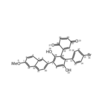 COc1ccc2cc(-c3cc(O)c(-c4ccc(Br)cc4)c(C4=CC(=O)C=CC4=O)c3O)ccc2c1